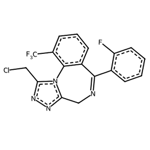 Fc1ccccc1C1=NCc2nnc(CCl)n2-c2c1cccc2C(F)(F)F